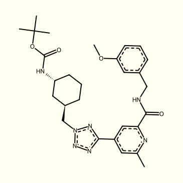 COc1cccc(CNC(=O)c2cc(-c3nnn(C[C@@H]4CCC[C@@H](NC(=O)OC(C)(C)C)C4)n3)cc(C)n2)c1